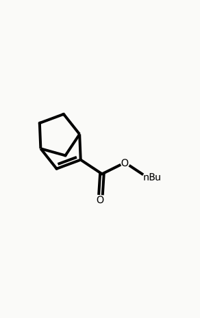 CCCCOC(=O)C1=CC2CCC1C2